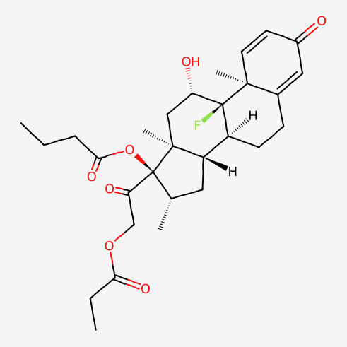 CCCC(=O)O[C@]1(C(=O)COC(=O)CC)[C@@H](C)C[C@H]2[C@@H]3CCC4=CC(=O)C=C[C@]4(C)[C@@]3(F)[C@@H](O)C[C@@]21C